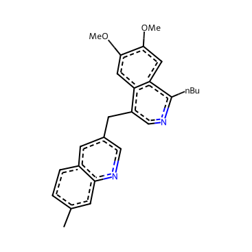 CCCCc1ncc(Cc2cnc3cc(C)ccc3c2)c2cc(OC)c(OC)cc12